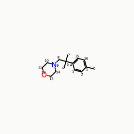 Cc1ccc(C(C)(C)CN2CCOCC2)cc1